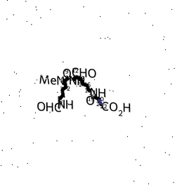 CNC(CCCCNC=O)C(=O)NC(C=O)CCCCNC(=O)/C=C/C(=O)O